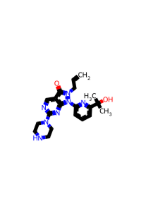 C=CCn1c(=O)c2cnc(N3CCNCC3)nc2n1-c1cccc(C(C)(C)O)n1